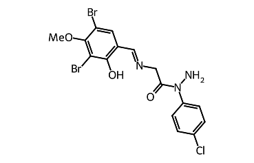 COc1c(Br)cc(C=NCC(=O)N(N)c2ccc(Cl)cc2)c(O)c1Br